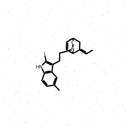 C/C=C1\CC2C=CC1N(CCc1c(I)[nH]c3ccc(C)cc13)C2